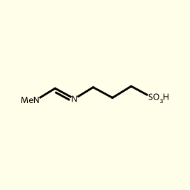 CN/C=N/CCCS(=O)(=O)O